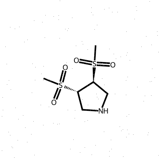 CS(=O)(=O)[C@H]1CNC[C@@H]1S(C)(=O)=O